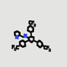 FC(F)(F)c1ccc(-c2cc(-c3ccc(C(F)(F)F)cc3)c(/N=C/c3ccccn3)c(-c3ccc(C(F)(F)F)cc3)c2)cc1